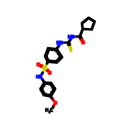 COc1ccc(NS(=O)(=O)c2ccc(NC(=S)NC(=O)C3CCCC3)cc2)cc1